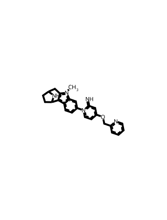 Cn1c2c(c3ccc(-n4ccc(OCc5ccccn5)cc4=N)cc31)C1CCC(C2)N1